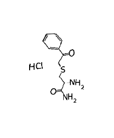 Cl.NC(=O)[C@@H](N)CSCC(=O)c1ccccc1